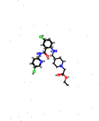 CCOC(=O)CN1CCC(CNc2ccc(Cl)cc2C(=O)Nc2ccc(Cl)cn2)CC1